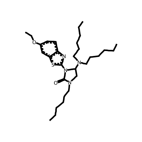 CCCCCCN1CC(N(CCCCCC)CCCCCC)N(c2nc3ccc(OCC)cc3s2)C1=O